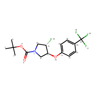 CC(C)(C)OC(=O)N1C[C@H](Oc2ccc(C(F)(F)F)cc2)[C@@H](F)C1